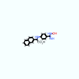 N=C(NO)c1ccc(NC(C(=O)O)c2ccc3ccccc3c2)cc1